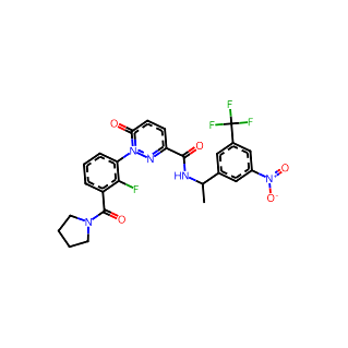 CC(NC(=O)c1ccc(=O)n(-c2cccc(C(=O)N3CCCC3)c2F)n1)c1cc([N+](=O)[O-])cc(C(F)(F)F)c1